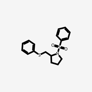 O=S(=O)(c1ccccc1)N1CCCC1CSc1ccccc1